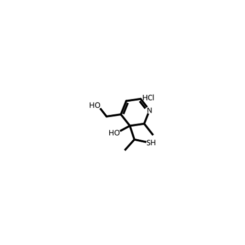 CC(S)C1(O)C(CO)=CC=NC1C.Cl